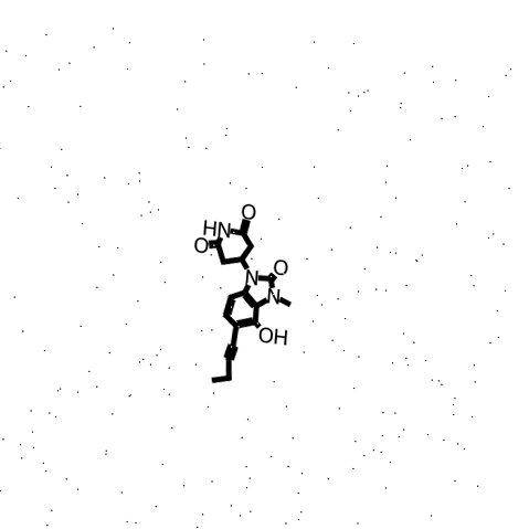 CCC#Cc1ccc2c(c1O)n(C)c(=O)n2C1CC(=O)NC(=O)C1